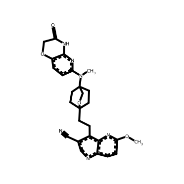 COc1ccc2ncc(C#N)c(CCC34CCC(N(C)c5ccc6c(n5)NC(=O)CO6)(CC3)CO4)c2n1